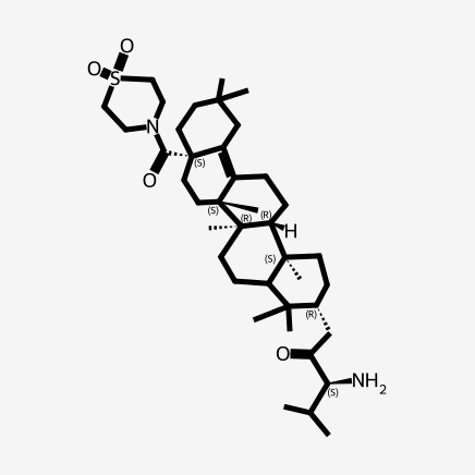 CC(C)[C@H](N)C(=O)C[C@H]1CC[C@@]2(C)C(CC[C@]3(C)[C@@H]2CCC2=C4CC(C)(C)CC[C@]4(C(=O)N4CCS(=O)(=O)CC4)CC[C@]23C)C1(C)C